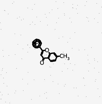 Cc1ccc2c(=O)cc([C]34[CH]5[CH]6[CH]7[CH]3[Fe]6754389%10[CH]4[CH]3[CH]8[CH]9[CH]4%10)oc2c1